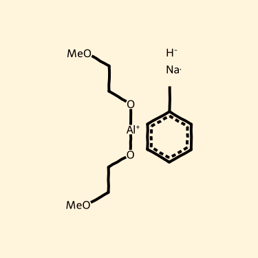 COCC[O][Al+][O]CCOC.Cc1ccccc1.[H-].[Na]